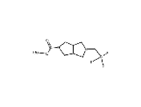 CC(C)(C)OC(=O)N1CC2CN(C[B-](F)(F)F)CC2C1